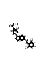 O=C(O)[C@@H]1[C@@H]2CN(C3CCc4cc(OCc5c(Cl)cccc5Cl)ccc43)C[C@@H]21